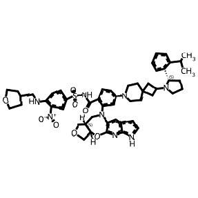 CC(C)c1ccccc1[C@@H]1CCCN1C1CC2(CCN(c3ccc(C(=O)NS(=O)(=O)c4ccc(NCC5CCOCC5)c([N+](=O)[O-])c4)c(N4C[C@H]5COC[C@H]5Oc5nc6[nH]ccc6cc54)c3)CC2)C1